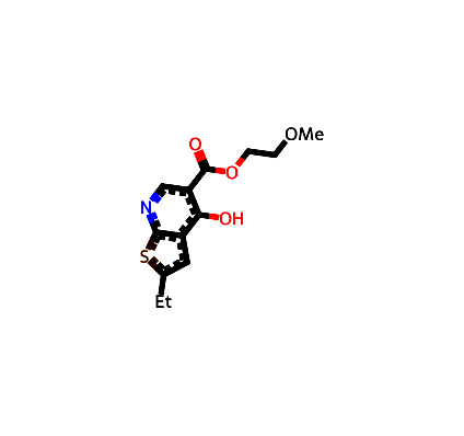 CCc1cc2c(O)c(C(=O)OCCOC)cnc2s1